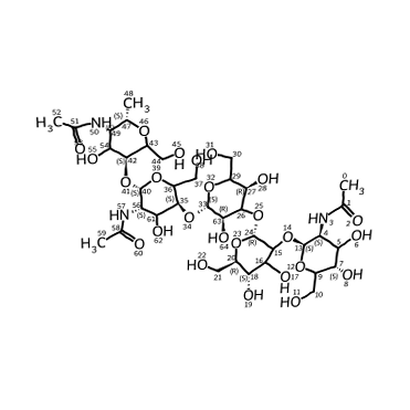 CC(=O)N[C@H]1C(O)[C@H](O)C(CO)O[C@H]1OC1C(O)[C@H](O)[C@@H](CO)O[C@@H]1OC1[C@H](O)C(CO)O[C@@H](O[C@@H]2C(CO)O[C@@H](O[C@@H]3C(CO)O[C@@H](C)[C@@H](NC(C)=O)C3O)[C@@H](NC(C)=O)C2O)[C@@H]1O